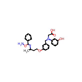 C=C(CCOc1cccc(CN(CC(=O)O)c2cccc(O)c2)c1)/N=C(\ON)c1ccccc1